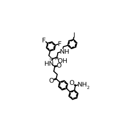 NC(=O)c1ccccc1-c1ccc(C(=O)CCC(=O)N[C@@H](Cc2cc(F)cc(F)c2)[C@H](O)CNCc2cccc(I)c2)cc1